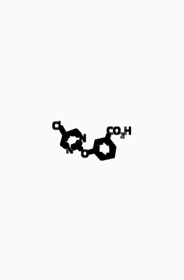 O=C(O)c1cccc(Oc2ncc(Cl)cn2)c1